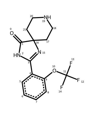 O=C1NC(c2ccccc2OC(F)(F)F)=NC12CCNCC2